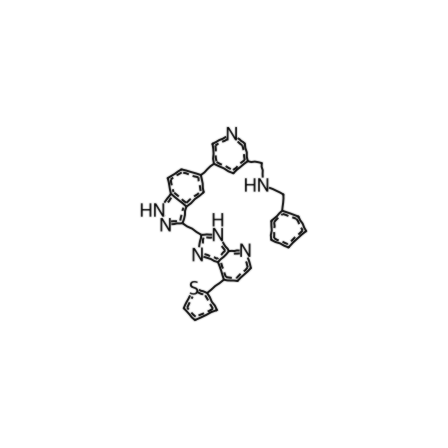 c1ccc(CNCc2cncc(-c3ccc4[nH]nc(-c5nc6c(-c7cccs7)ccnc6[nH]5)c4c3)c2)cc1